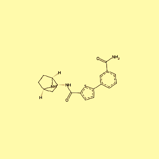 NC(=O)c1cccc(-c2ccc(C(=O)N[C@@H]3C[C@H]4CC[C@@H]3N4)s2)c1